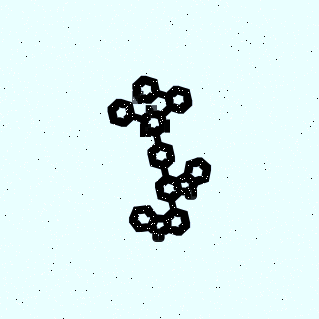 c1ccc(-c2nc(-c3ccc(-c4ccc(-c5cccc6oc7ccccc7c56)c5oc6ccccc6c45)cc3)nc(-c3ccccc3-c3cccnc3)n2)cc1